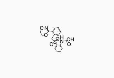 O=C(O)Nc1ccccc1S(=O)(=O)Cc1ccccc1C1=NOCCO1